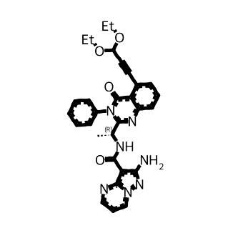 CCOC(C#Cc1cccc2nc([C@@H](C)NC(=O)c3c(N)nn4cccnc34)n(-c3ccccc3)c(=O)c12)OCC